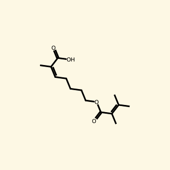 CC(=CCCCCOC(=O)C(C)=C(C)C)C(=O)O